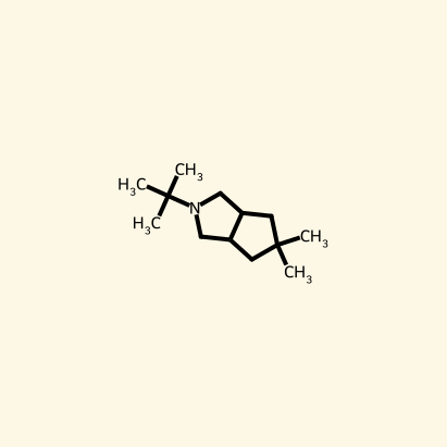 CC1(C)CC2CN(C(C)(C)C)CC2C1